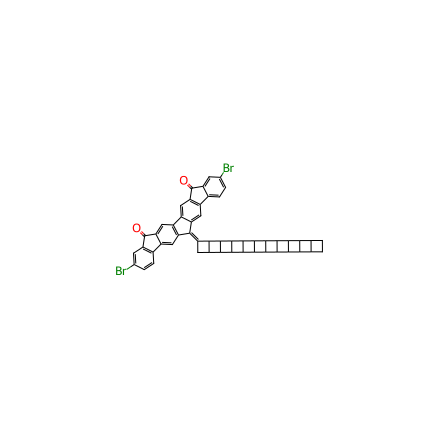 O=C1c2cc(Br)ccc2-c2cc3c(cc21)-c1cc2c(cc1C3=C1CC3C1C1C3C3C1C1C3C3C4C5C6C7C8CCC8C7C6C5C4C13)-c1ccc(Br)cc1C2=O